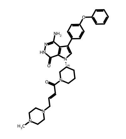 CN1CCN(CC=CC(=O)N2CCC[C@@H](n3cc(-c4ccc(Oc5ccccc5)cc4)c4c(N)n[nH]c(=O)c43)C2)CC1